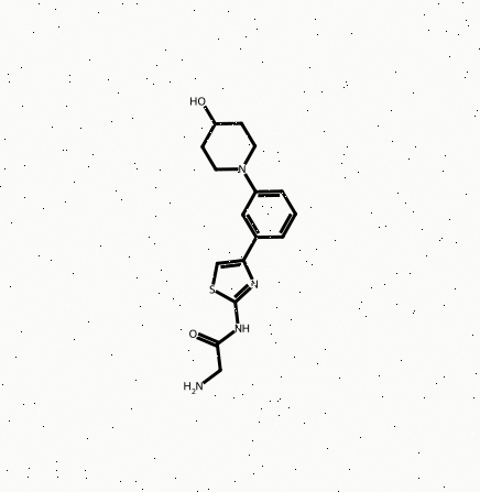 NCC(=O)Nc1nc(-c2cccc(N3CCC(O)CC3)c2)cs1